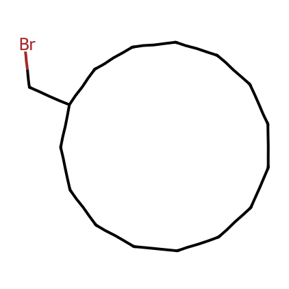 BrCC1CCCCCCCCCCCCCC1